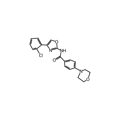 O=C(Nc1nc(-c2ccccc2Cl)co1)c1ccc(N2CCOCC2)cc1